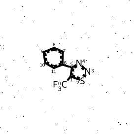 FC(F)(F)c1snnc1-c1ccccc1